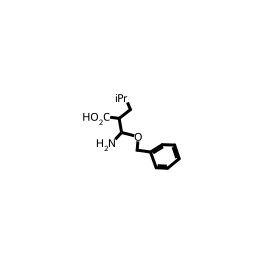 CC(C)CC(C(=O)O)C(N)OCc1ccccc1